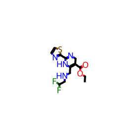 CCOC(=O)C1=C(CNCC(F)F)NC(c2nccs2)=NC1